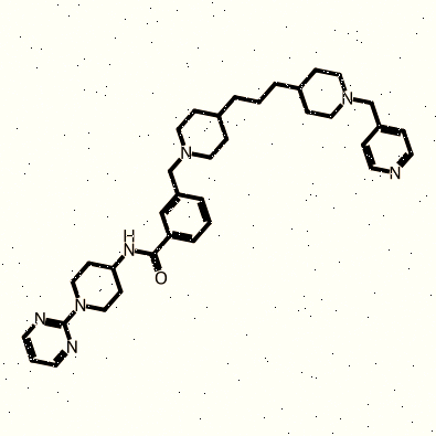 O=C(NC1CCN(c2ncccn2)CC1)c1cccc(CN2CCC(CCCC3CCN(Cc4ccncc4)CC3)CC2)c1